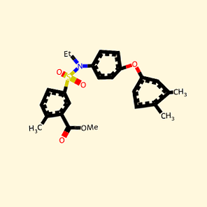 CCN(c1ccc(Oc2ccc(C)c(C)c2)cc1)S(=O)(=O)c1ccc(C)c(C(=O)OC)c1